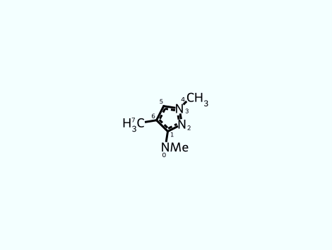 CNc1nn(C)cc1C